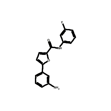 Nc1cccc(-c2ccc(C(=O)Nc3cccc(F)c3)o2)c1